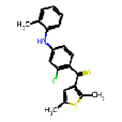 Cc1cc(C(=S)c2ccc(Nc3ccccc3C)cc2Cl)c(C)s1